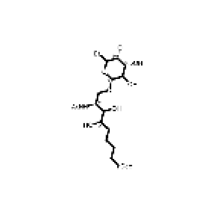 CCCCCCCCCCCCCC[C@@H](O)C(O)[C@H](CO[C@H]1OC(CC)[C@H](O)[C@H](O)C1O)NC(C)=O